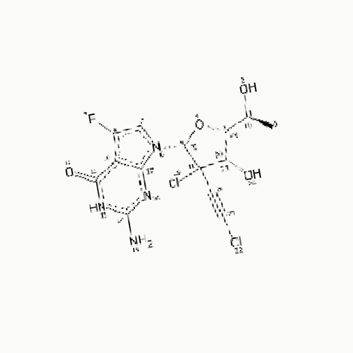 C[C@H](O)[C@H]1O[C@@H](n2cc(F)c3c(=O)[nH]c(N)nc32)C(Cl)(C#CCl)[C@H]1O